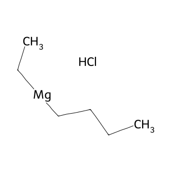 CCC[CH2][Mg][CH2]C.Cl